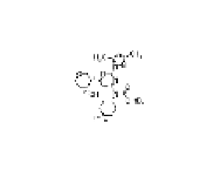 Cc1cc(C)n(-c2nc([C@H]3COCC[C@H]3O)cc(N(C(=O)OC(C)(C)C)C3CCC(F)(F)CC3)n2)n1